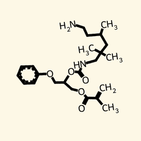 C=C(C)C(=O)OCC(COc1ccccc1)OC(=O)NCC(C)(C)CC(C)CCN